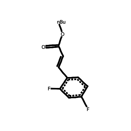 CCCCOC(=O)/C=C/c1ccc(F)cc1F